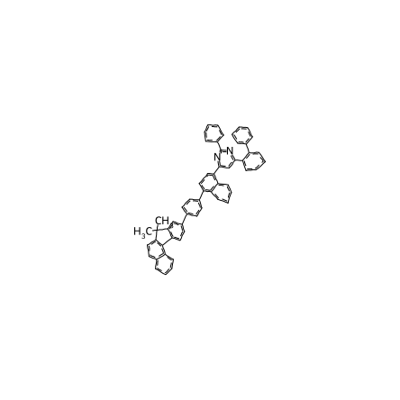 CC1(C)c2cc(-c3ccc(-c4ccc(-c5cc(-c6ccccc6-c6ccccc6)nc(-c6ccccc6)n5)c5ccccc45)cc3)ccc2-c2c1ccc1ccccc21